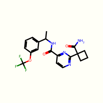 CC(NC(=O)c1ccnc(C2(C(N)=O)CCC2)n1)c1cccc(OC(F)(F)F)c1